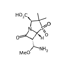 COC(N)[C@@H]1C(=O)N2[C@@H](C(=O)O)C(C)(C)S(=O)(=O)[C@H]12